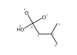 CC(C)CC([O])(O)Cl